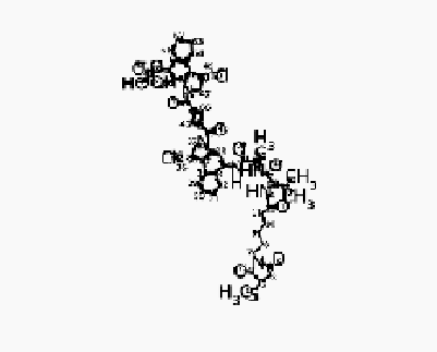 CSC1CC(=O)N(CCCCCC(=O)N[C@H](C(=O)N[C@@H](C)C(=O)Nc2cc3c(c4ccccc24)[C@H](CCl)CN3C(=O)C23CC(C(=O)N4C[C@@H](CCl)c5c4cc(OP(=O)(O)O)c4ccccc54)(C2)C3)C(C)C)C1=O